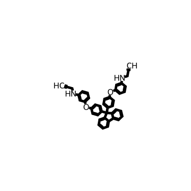 C#CCNc1cccc(Oc2ccc(C3(c4ccc(Oc5cccc(NCC#C)c5)cc4)c4ccccc4-c4ccccc43)cc2)c1